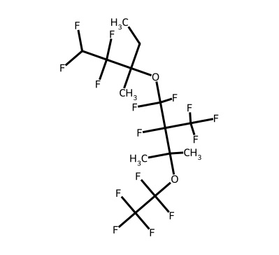 CCC(C)(OC(F)(F)C(F)(C(F)(F)F)C(C)(C)OC(F)(F)C(F)(F)F)C(F)(F)C(F)F